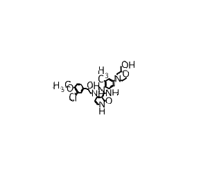 COc1ccc(C(O)CNc2cc[nH]c(=O)c2-c2nc3c(C)cc(N4CCOC(CO)C4)cc3[nH]2)cc1Cl